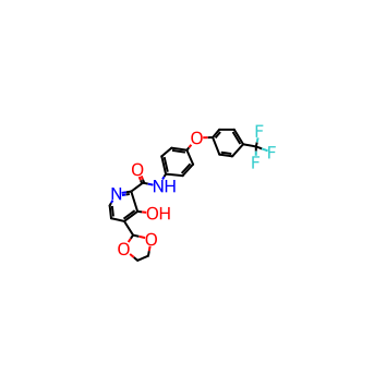 O=C(Nc1ccc(Oc2ccc(C(F)(F)F)cc2)cc1)c1nccc(C2OCCO2)c1O